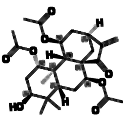 C=C1C(=O)[C@]23C[C@H]1C[C@H](OC(C)=O)[C@H]2[C@]1(C)[C@@H](OC(C)=O)C[C@H](O)C(C)(C)[C@H]1C[C@@H]3OC(C)=O